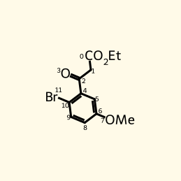 CCOC(=O)CC(=O)c1cc(OC)ccc1Br